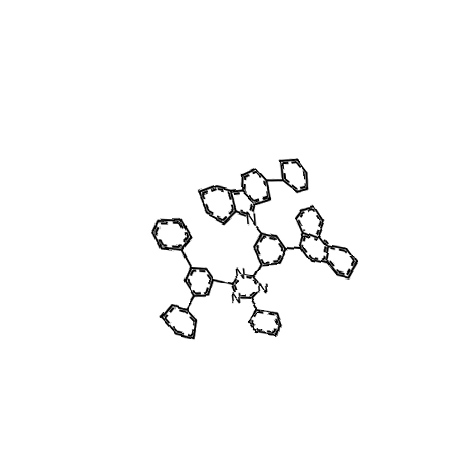 c1ccc(-c2cc(-c3ccccc3)cc(-c3nc(-c4ccccc4)nc(-c4cc(-c5cc6ccccc6c6ccccc56)cc(-n5c6ccccc6c6ccc(-c7ccccc7)cc65)c4)n3)c2)cc1